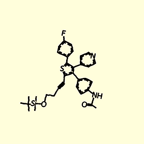 CC(=O)Nc1ccc(-c2c(C#CCCO[Si](C)(C)C(C)(C)C)sc(-c3ccc(F)cc3)c2-c2ccncc2)cc1